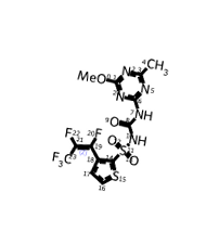 COc1nc(C)nc(NC(=O)NS(=O)(=O)c2sccc2/C(F)=C(/F)C(F)(F)F)n1